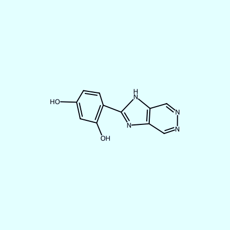 Oc1ccc(-c2nc3cnncc3[nH]2)c(O)c1